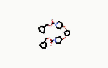 O=C(OCc1ccccc1)N1CCC(O[C@@H]2CC[C@@H](OC3CCN(C(=O)OCc4ccccc4)CC3)C2)CC1